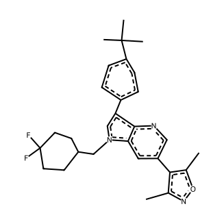 Cc1noc(C)c1-c1cnc2c(-c3ccc(C(C)(C)C)cc3)cn(CC3CCC(F)(F)CC3)c2c1